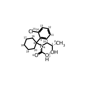 C[C@H](O)CN(C(=O)O)C1(c2ccccc2Cl)CCCCC1